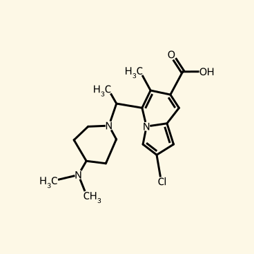 Cc1c(C(=O)O)cc2cc(Cl)cn2c1C(C)N1CCC(N(C)C)CC1